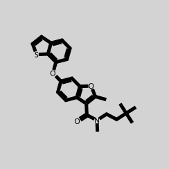 Cc1oc2cc(Oc3cccc4ccsc34)ccc2c1C(=O)N(C)CCC(C)(C)C